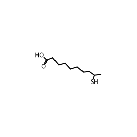 CC(S)CCCCCCCC(=O)O